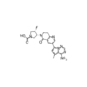 Cc1cc(-c2cnc3c(c2)C(=O)N([C@@H]2CN(C(=O)O)C[C@@H]2F)CC3)n2ncnc(N)c12